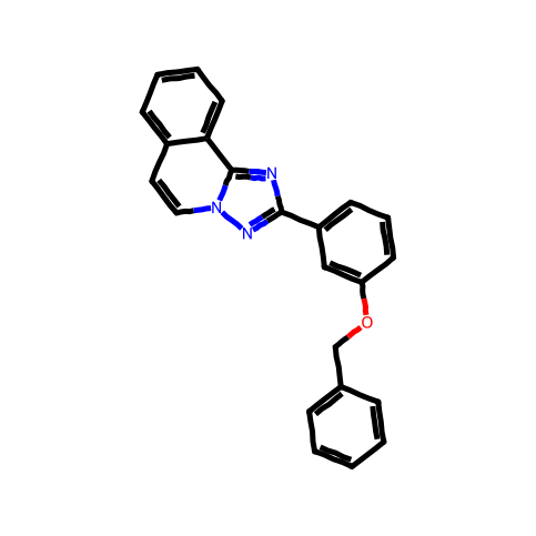 c1ccc(COc2cccc(-c3nc4c5ccccc5ccn4n3)c2)cc1